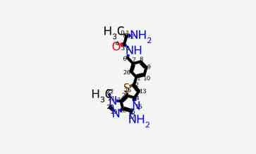 C[C@@H](N)C(=O)NCc1cccc(-c2cc3nc(N)c4ncn(C)c4c3s2)c1